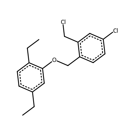 CCc1ccc(CC)c(OCc2ccc(Cl)cc2CCl)c1